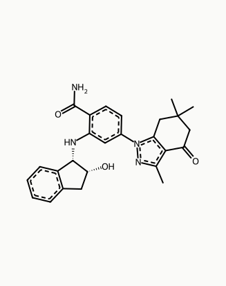 Cc1nn(-c2ccc(C(N)=O)c(N[C@H]3c4ccccc4C[C@H]3O)c2)c2c1C(=O)CC(C)(C)C2